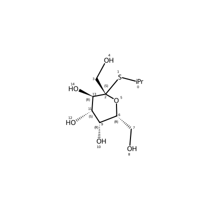 CC(C)S[C@]1(CO)O[C@H](CO)[C@H](O)[C@H](O)[C@H]1O